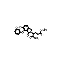 CC(C)(C)OC(=O)CCC(C(N)=O)N1Cc2ccc(C=O)c(Oc3ccccc3)c2C1=O